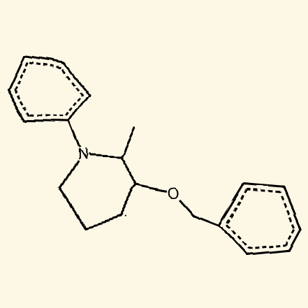 CC1C(OCc2ccccc2)[CH]CCN1c1ccccc1